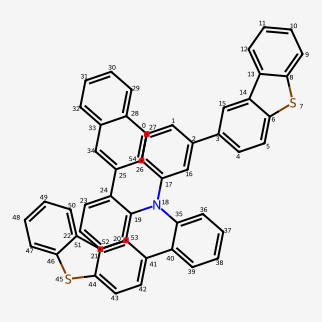 c1cc(-c2ccc3sc4ccccc4c3c2)cc(N(c2ccccc2-c2ccc3ccccc3c2)c2ccccc2-c2ccc3sc4ccccc4c3c2)c1